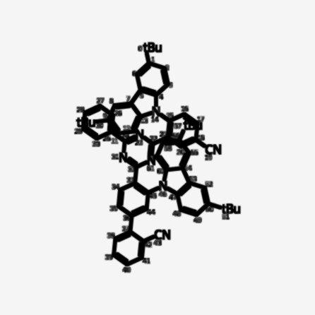 CC(C)(C)c1ccc2c(c1)c1cc(C(C)(C)C)ccc1n2-c1ccc(C#N)cc1-c1nc(-c2ccccc2)nc(-c2ccc(-c3ccccc3C#N)cc2-n2c3ccc(C(C)(C)C)cc3c3cc(C(C)(C)C)ccc32)n1